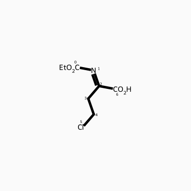 CCOC(=O)N=C(CCCl)C(=O)O